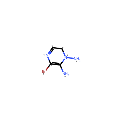 NC1=C(Br)N=CCN1N